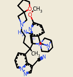 COc1ccc(CN2C3CC2CN(/C(=C/N)C(C)(CCCN2CC4(CCCO4)C2)c2cccn4ncc(C#N)c24)C3)cn1